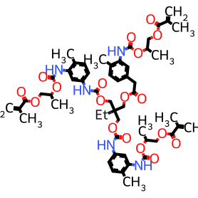 C=C(C)C(=O)OCC(C)OC(=O)Nc1cc(CC(=O)OCC(CC)(COC(=O)Nc2ccc(C)c(NC(=O)OC(C)COC(=O)C(=C)C)c2)COC(=O)Nc2ccc(C)c(NC(=O)OC(C)COC(=O)C(=C)C)c2)ccc1C